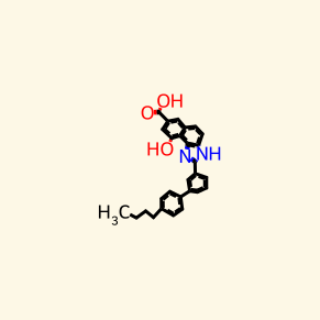 CCCCc1ccc(-c2cccc(-c3nc4c(ccc5cc(C(=O)O)cc(O)c54)[nH]3)c2)cc1